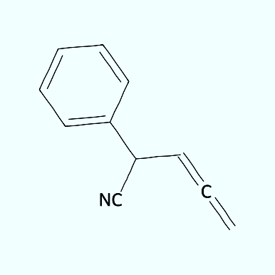 C=C=CC(C#N)c1ccccc1